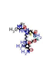 CCn1nc(C)cc1C(=O)Nc1nc2cc(C(N)=O)sc2n1C/C=C/CNc1c(N)cc(C(N)=O)cc1OCCOC(F)F